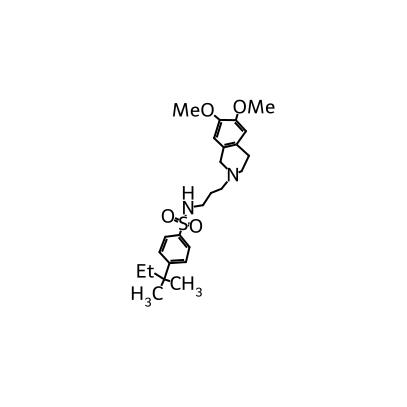 CCC(C)(C)c1ccc(S(=O)(=O)NCCCN2CCc3cc(OC)c(OC)cc3C2)cc1